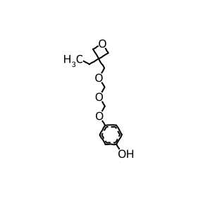 CCC1(COCOCOc2ccc(O)cc2)COC1